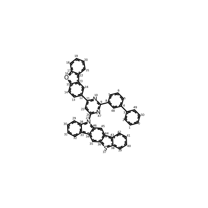 c1ccc(-c2cccc(-c3nc(-c4ccc5oc6ccccc6c5c4)cc(-n4c5ccccc5c5cc6sc7ccccc7c6cc54)n3)c2)cc1